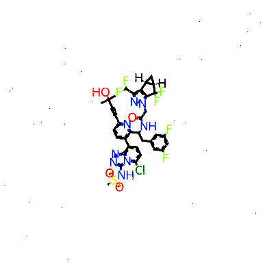 CC(C)(O)C#Cc1ccc(-c2ccc(Cl)n3c(NS(C)(=O)=O)nnc23)c(C(Cc2cc(F)cc(F)c2)NC(=O)Cn2nc(C(F)F)c3c2C(F)(F)[C@@H]2C[C@H]32)n1